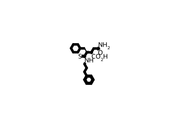 NC(=O)CC(C(=O)O)[C@H](CC1CCCCC1)C(=S)NCCCc1ccccc1